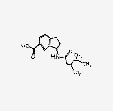 CC(C)C(C)CC(=O)NC1CCc2ccc(C(=O)O)cc21